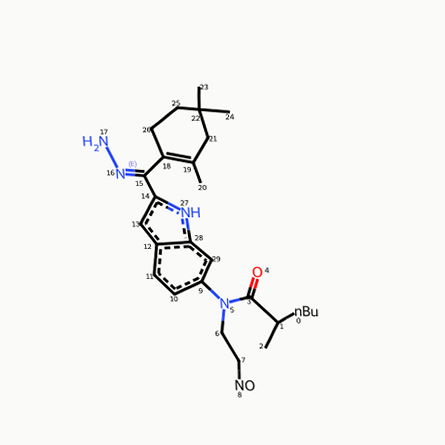 CCCCC(C)C(=O)N(CCN=O)c1ccc2cc(/C(=N/N)C3=C(C)CC(C)(C)CC3)[nH]c2c1